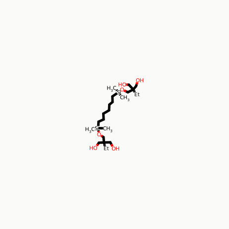 CCC(CO)(CO)CO[Si](C)(C)CCCCCCC[Si](C)(C)OCC(CC)(CO)CO